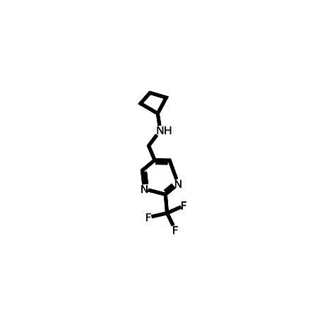 FC(F)(F)c1ncc(CNC2CCC2)cn1